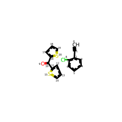 C#Cc1ccccc1Cl.O=C(c1cccs1)c1cccs1